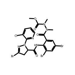 COC(=O)N(C)N(C)C(=O)c1cc(Br)cc(Br)c1NC(=O)C1CC(Br)=NN1c1ncccc1Cl